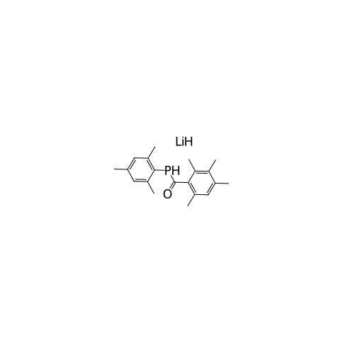 Cc1cc(C)c(PC(=O)c2c(C)cc(C)c(C)c2C)c(C)c1.[LiH]